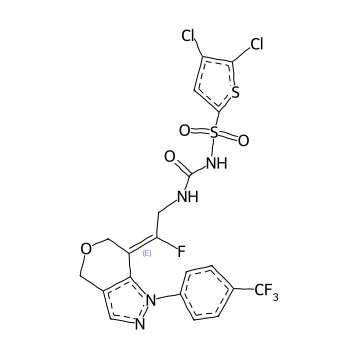 O=C(NC/C(F)=C1\COCc2cnn(-c3ccc(C(F)(F)F)cc3)c21)NS(=O)(=O)c1cc(Cl)c(Cl)s1